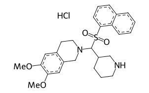 COc1cc2c(cc1OC)CN(C(C1CCCNC1)S(=O)(=O)c1cccc3ccccc13)CC2.Cl